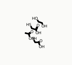 CC(=O)O.O=C(O)CS.O=C(O)CS.OCCO